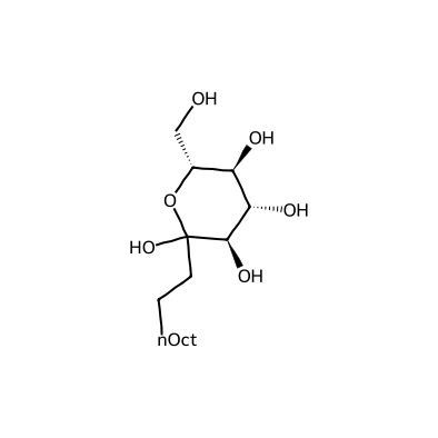 CCCCCCCCCCC1(O)O[C@H](CO)[C@@H](O)[C@H](O)[C@H]1O